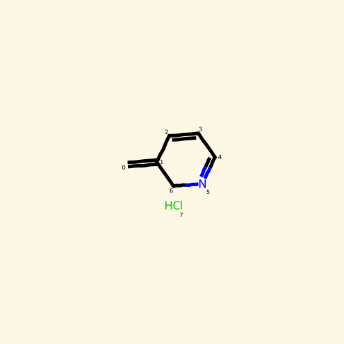 C=C1C=CC=NC1.Cl